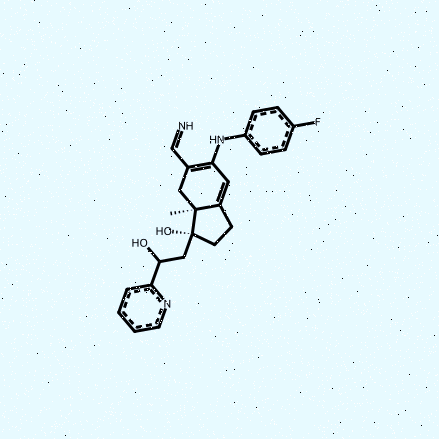 C[C@]12CC(C=N)=C(Nc3ccc(F)cc3)C=C1CC[C@@]2(O)CC(O)c1ccccn1